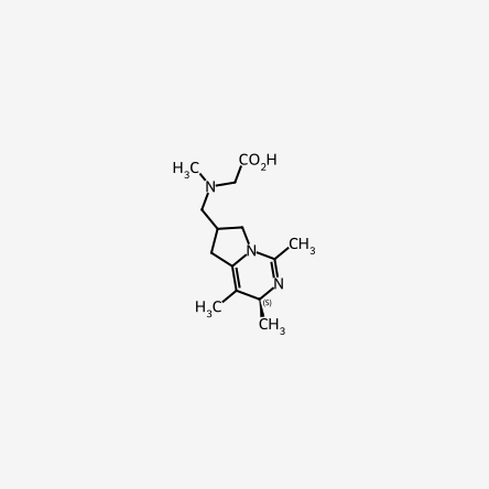 CC1=N[C@@H](C)C(C)=C2CC(CN(C)CC(=O)O)CN12